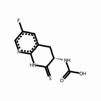 O=C(O)N[C@H]1Cc2cc(F)cnc2NC1=S